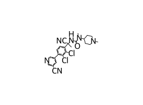 CN1CCC(N(C)C(=O)NC(C)(C#N)c2ccc(-c3cncc(C#N)c3)c(Cl)c2Cl)CC1